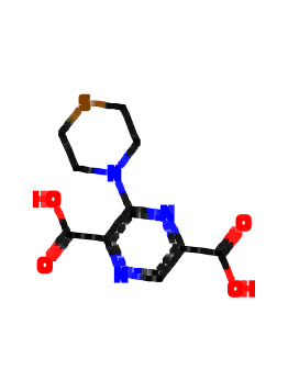 O=C(O)c1cnc(C(=O)O)c(N2CCSCC2)n1